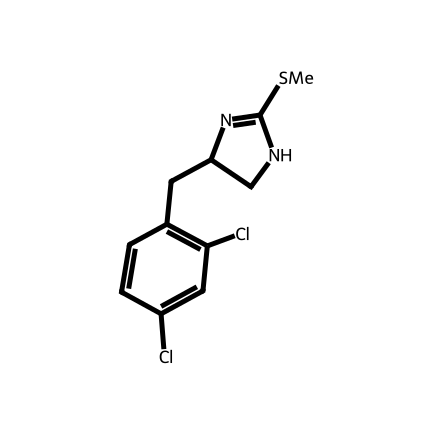 CSC1=NC(Cc2ccc(Cl)cc2Cl)CN1